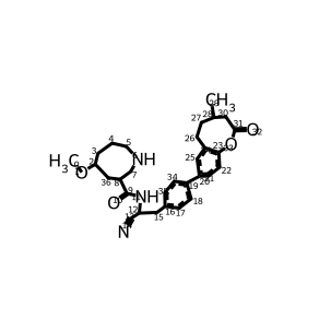 COC1CCCNCC(C(=O)NC(C#N)Cc2ccc(-c3ccc4c(c3)CCC(C)CC(=O)O4)cc2)C1